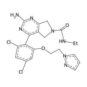 CCNC(=O)N1Cc2nc(N)nc(-c3c(Cl)cc(Cl)cc3OCCn3cccn3)c2C1